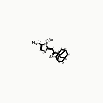 CCCCN1C(C)=CSC1=CC(=O)C12CC3CC(CC(C3)C1)C2